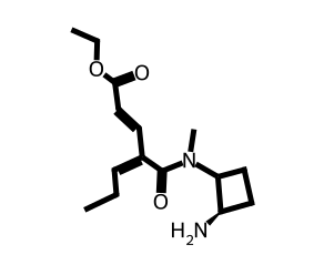 CC/C=C(/C=C/C(=O)OCC)C(=O)N(C)C1CC[C@H]1N